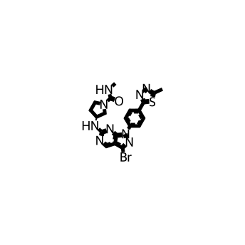 CNC(=O)N1CC[C@@H](Nc2ncc3c(Br)nn(-c4ccc(-c5nnc(C)s5)cc4)c3n2)C1